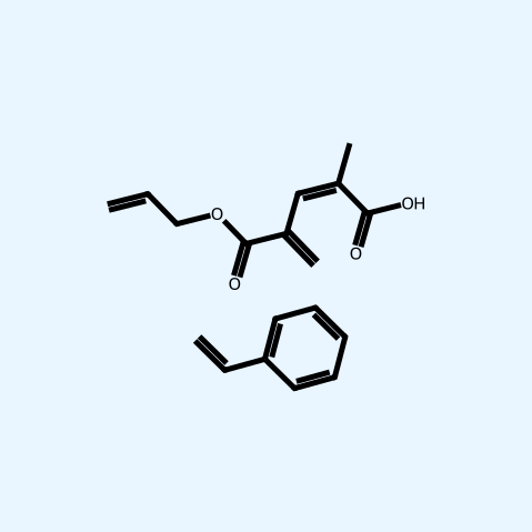 C=CCOC(=O)C(=C)C=C(C)C(=O)O.C=Cc1ccccc1